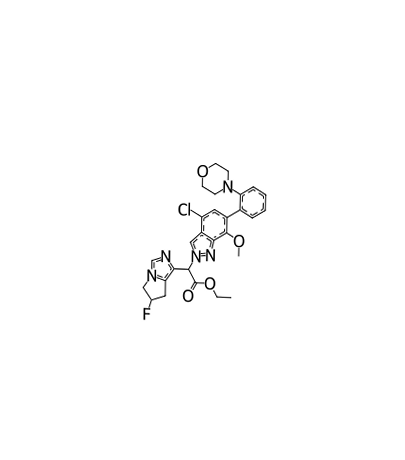 CCOC(=O)C(c1ncn2c1CC(F)C2)n1cc2c(Cl)cc(-c3ccccc3N3CCOCC3)c(OC)c2n1